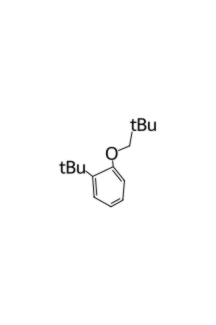 CC(C)(C)COc1ccccc1C(C)(C)C